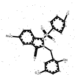 COc1ccc2c(c1)c(=O)n(Cc1cc([N+](=O)[O-])ccc1O)n2S(=O)(=O)c1ccc(Cl)cc1